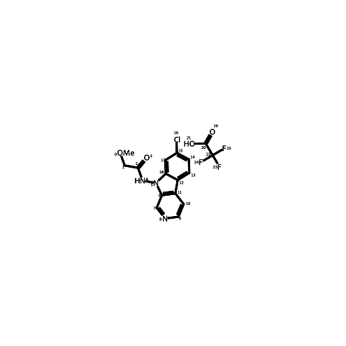 COCC(=O)Nn1c2cnccc2c2ccc(Cl)cc21.O=C(O)C(F)(F)F